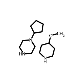 C1CCC(N2CCNCC2)C1.COC1CCNCC1